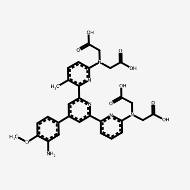 COc1ccc(-c2cc(-c3cccc(N(CC(=O)O)CC(=O)O)n3)nc(-c3nc(N(CC(=O)O)CC(=O)O)ccc3C)c2)cc1N